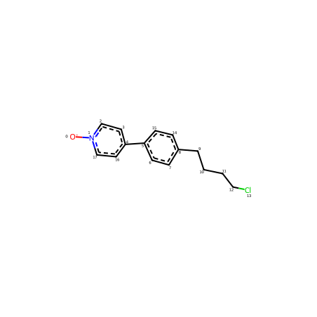 [O-][n+]1ccc(-c2ccc(CCCCCl)cc2)cc1